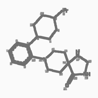 CC(C)C1CCC(c2ccccc2N2CCC3(CC2)NCNC3=O)CC1